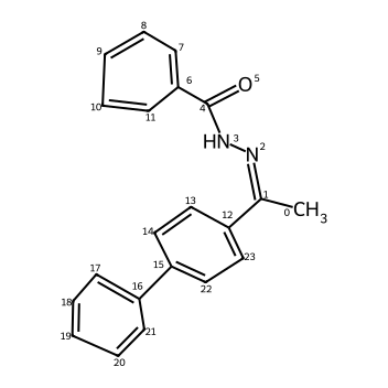 CC(=NNC(=O)c1ccccc1)c1ccc(-c2ccccc2)cc1